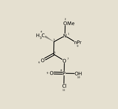 CCCN(OC)[C@@H](C)C(=O)OP(=O)(O)Cl